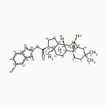 CC1(C)CC[C@]23CO[C@H](C[C@@H]4C2CC[C@]2(C)[C@@H](C(=O)Cn5nc6ccc(F)cc6n5)CC[C@@H]42)C3C1